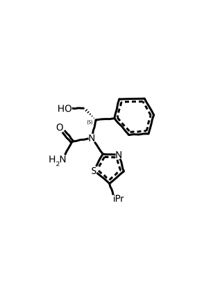 CC(C)c1cnc(N(C(N)=O)[C@H](CO)c2ccccc2)s1